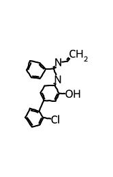 C=C/N=C(\N=C1/CC=C(c2ccccc2Cl)C=C1O)c1ccccc1